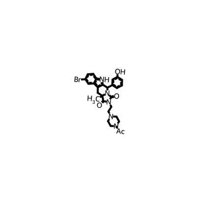 CC(=O)N1CCN(CCN2C(=O)N3C(c4cccc(O)c4)c4[nH]c5ccc(Br)cc5c4CC3(C)C2=O)CC1